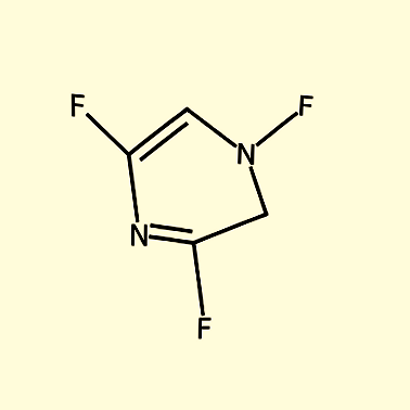 FC1=CN(F)CC(F)=N1